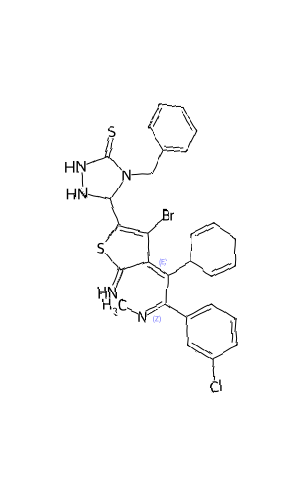 C/N=C(\C(=C1/C(=N)SC(C2NNC(=S)N2Cc2ccccc2)=C1Br)C1C=CCC=C1)c1cccc(Cl)c1